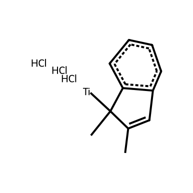 CC1=Cc2ccccc2[C]1(C)[Ti].Cl.Cl.Cl